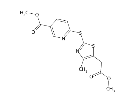 COC(=O)Cc1sc(Sc2ccc(C(=O)OC)cn2)nc1C